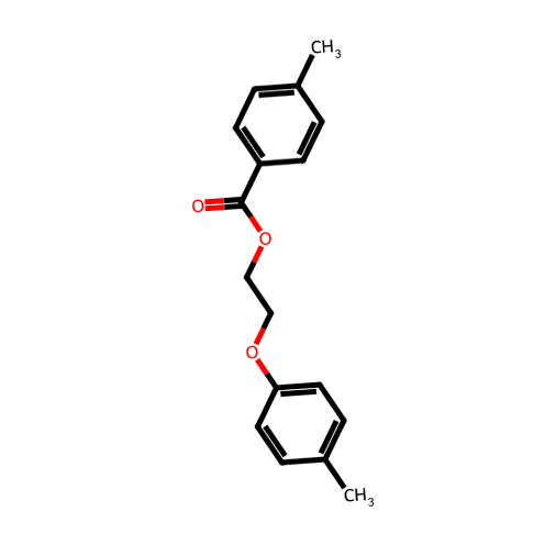 Cc1ccc(OCCOC(=O)c2ccc(C)cc2)cc1